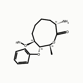 CCCO[C@H]1CCCC[C@H](N)C(=O)O[C@@H](C)[C@@H]1Oc1ccccc1